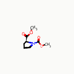 COC(=O)[C@@H]1C[CH]CN1C(=O)OC